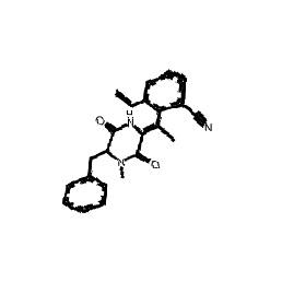 C=Cc1cccc(C#N)c1C(C)=C1NC(=O)C(Cc2ccccc2)N(C)C1=O